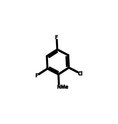 CNc1c(F)cc(F)cc1Cl